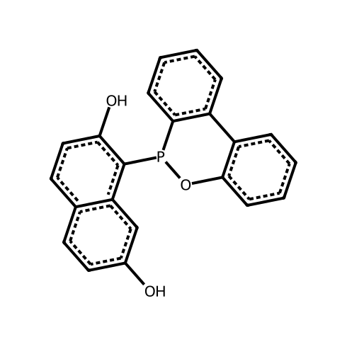 Oc1ccc2ccc(O)c(P3Oc4ccccc4-c4ccccc43)c2c1